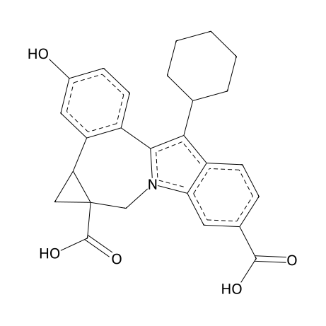 O=C(O)c1ccc2c(C3CCCCC3)c3n(c2c1)CC1(C(=O)O)CC1c1cc(O)ccc1-3